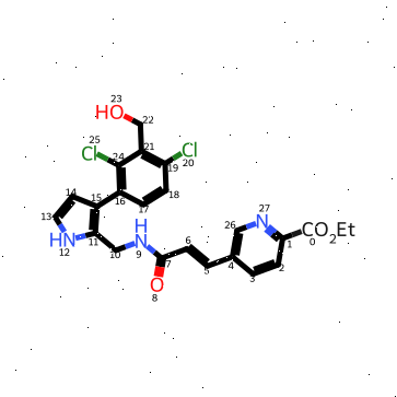 CCOC(=O)c1ccc(/C=C/C(=O)NCc2[nH]ccc2-c2ccc(Cl)c(CO)c2Cl)cn1